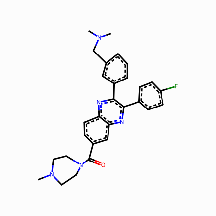 CN(C)Cc1cccc(-c2nc3ccc(C(=O)N4CCN(C)CC4)cc3nc2-c2ccc(F)cc2)c1